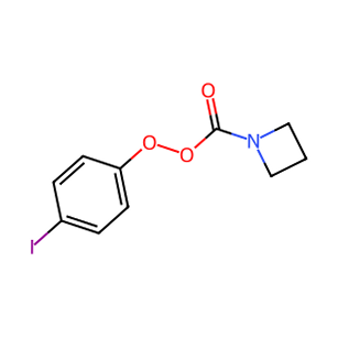 O=C(OOc1ccc(I)cc1)N1CCC1